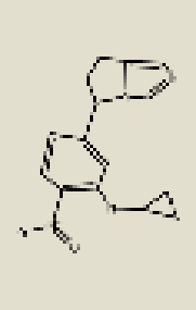 O=[N+]([O-])c1ccc(C2CCc3cncn32)cc1NC1CC1